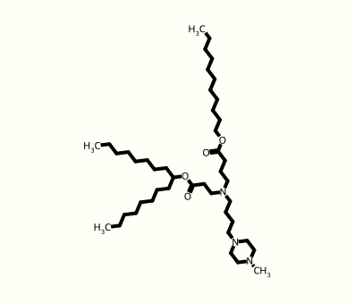 CCCCCCCCCCCOC(=O)CCCN(CCCCN1CCN(C)CC1)CCC(=O)OC(CCCCCCCC)CCCCCCCC